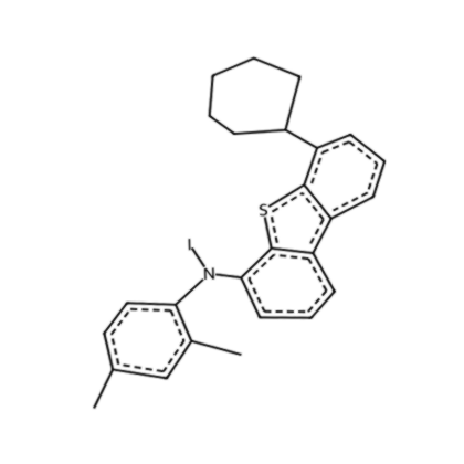 Cc1ccc(N(I)c2cccc3c2sc2c(C4CCCCC4)cccc23)c(C)c1